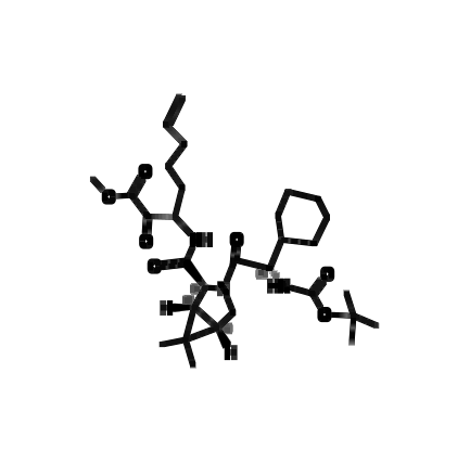 C=CCCCC(NC(=O)[C@@H]1[C@@H]2[C@H](CN1C(=O)[C@@H](NC(=O)OC(C)(C)C)C1CCCCC1)C2(C)C)C(=O)C(=O)OC